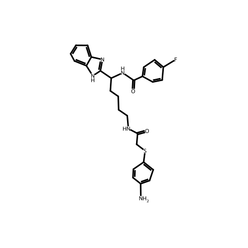 Nc1ccc(SCC(=O)NCCCCC(NC(=O)c2ccc(F)cc2)c2nc3ccccc3[nH]2)cc1